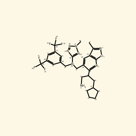 Cc1noc2nc(C(CN)CC3CCCC3)c(CN(Cc3cc(C(F)(F)F)cc(C(F)(F)F)c3)c3nnn(C)n3)cc12